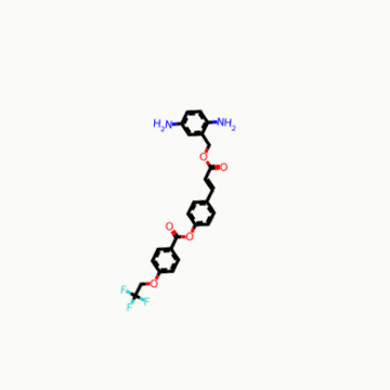 Nc1ccc(N)c(COC(=O)C=Cc2ccc(OC(=O)c3ccc(OCC(F)(F)F)cc3)cc2)c1